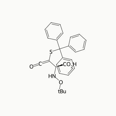 CC(C)(C)ON[C@H](C(=O)O)C(=C=O)SC(c1ccccc1)(c1ccccc1)c1ccccc1